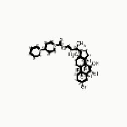 CC[C@H]1[C@@H](O)[C@@H]2[C@H](CC[C@]3(C)[C@@H]([C@H](C)CCOC(=O)N4CCC(N5CCCCC5)CC4)CC[C@@H]23)[C@@]2(C)CC[C@@H](O)C[C@@H]12